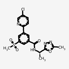 Cc1nnc([C@@H](C)NC(=O)c2cc(-c3ccc(Cl)cn3)cc(S(C)(=O)=O)c2)o1